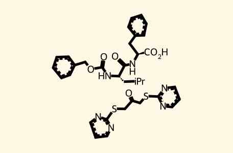 CC(C)C[C@H](NC(=O)OCc1ccccc1)C(=O)N[C@@H](Cc1ccccc1)C(=O)O.O=C(CSc1ncccn1)CSc1ncccn1